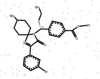 CC(C)OC(=O)c1ccc([C@@H](CCC(C)(C)C)N2C(=O)C(c3cccc(Br)c3)=NC23CCC(C(C)(C)C)CC3)cc1